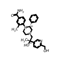 Cc1cc(C(N)=O)ccc1N1CCN(C[C@@](C)(O)c2ccc(CO)nc2)C[C@H]1c1ccccc1